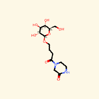 O=C1CN(C(=O)CCCO[C@@H]2O[C@H](CO)[C@@H](O)[C@H](O)[C@H]2O)CCN1